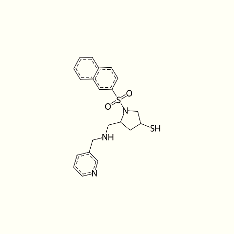 O=S(=O)(c1ccc2ccccc2c1)N1CC(S)CC1CNCc1cccnc1